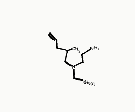 C=CCC(N)CN(CCN)CCCCCCCC